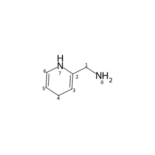 NCC1=CCC=CN1